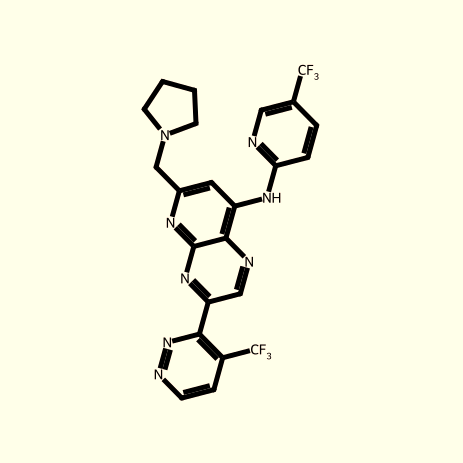 FC(F)(F)c1ccc(Nc2cc(CN3CCCC3)nc3nc(-c4nnccc4C(F)(F)F)cnc23)nc1